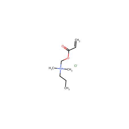 C=CC(=O)OC[N+](C)(C)CCC.[Cl-]